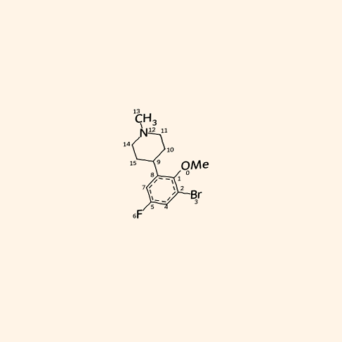 COc1c(Br)cc(F)cc1C1CCN(C)CC1